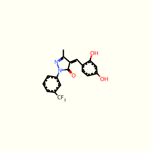 CC1=NN(c2cccc(C(F)(F)F)c2)C(=O)C1=Cc1ccc(O)cc1O